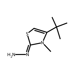 Cn1c(C(C)(C)C)cs/c1=N\N